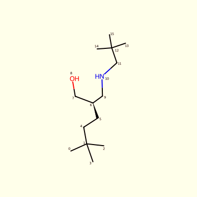 CC(C)(C)CC[C@@H](CO)CNCC(C)(C)C